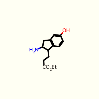 CCOC(=O)CCC1c2ccc(O)cc2CC1N